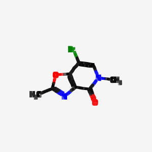 Cc1nc2c(=O)n(C)cc(Br)c2o1